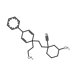 CCCC1(CCC2(C#N)CCCC(C)C2)C=CC(c2ccccc2)C=C1